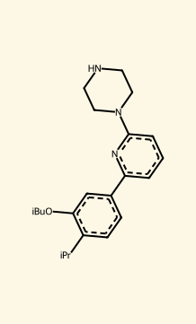 CC(C)COc1cc(-c2cccc(N3CCNCC3)n2)ccc1C(C)C